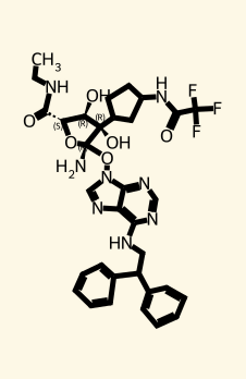 CCNC(=O)[C@H]1O[C@@](N)(On2cnc3c(NCC(c4ccccc4)c4ccccc4)ncnc32)[C@@](O)(C2CCC(NC(=O)C(F)(F)F)C2)[C@@H]1O